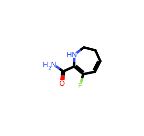 NC(=O)C1=C(F)C=CCCN1